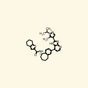 Cc1c(-c2nc3nccc(-c4ccc5c(c4)CCCC[C@@H]5NC(=O)c4cc5c(s4)CCCC5)c3[nH]2)cnn1C(C)C